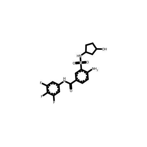 Nc1ccc(C(=O)Nc2cc(F)c(F)c(F)c2)cc1S(=O)(=O)NC1CCC(O)C1